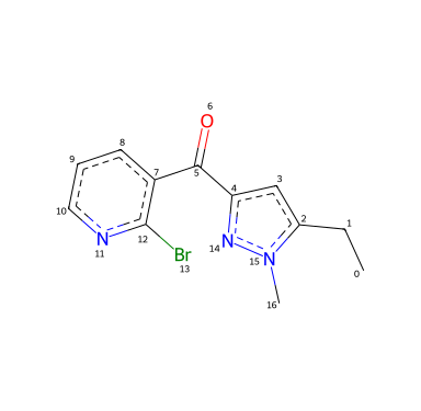 CCc1cc(C(=O)c2cccnc2Br)nn1C